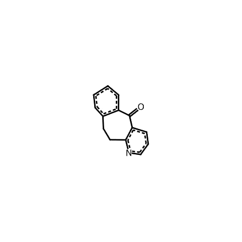 O=C1c2ccccc2CCc2ncccc21